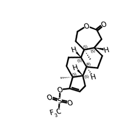 C[C@]12CCOC(=O)C[C@@H]1CC[C@@H]1[C@@H]2CC[C@]2(C)C(OS(=O)(=O)C(F)(F)F)=CC[C@@H]12